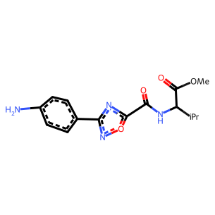 COC(=O)C(NC(=O)c1nc(-c2ccc(N)cc2)no1)C(C)C